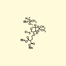 CCS[C@@H]1O[C@H](CO[Si](C)(C)C(C)(C)C)[C@@H]2OC(C)(C)O[C@@H]2[C@H]1OCCC(C(=O)OC(C)(C)C)C(=O)OC(C)(C)C